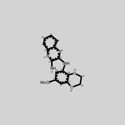 COc1cc(Nc2nc3ccccc3nc2N)c2c(c1)OCCO2